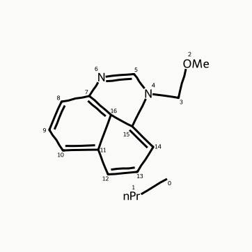 CCCC.COCN1C=Nc2cccc3cccc1c23